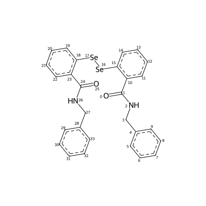 O=C(NCc1ccccc1)c1ccccc1[Se][Se]c1ccccc1C(=O)NCc1ccccc1